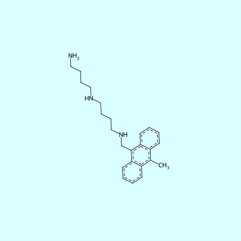 Cc1c2ccccc2c(CNCCCCNCCCCN)c2ccccc12